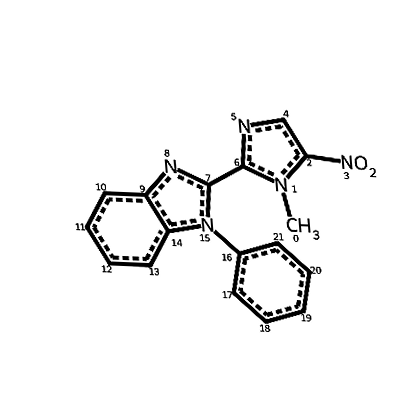 Cn1c([N+](=O)[O-])cnc1-c1nc2ccccc2n1-c1ccccc1